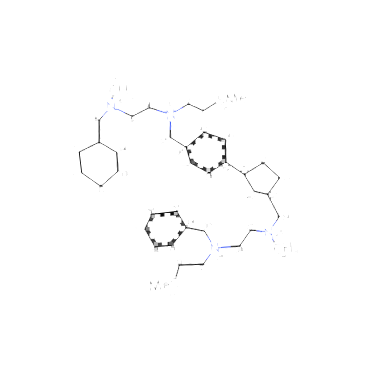 CSCCN(CCN(C)CC1CCCCC1)Cc1ccc(C2CCC(CN(C)CCN(CCSC)Cc3ccccc3)C2)cc1